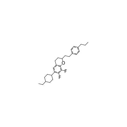 CCCc1ccc(CCC2CCc3cc(C4CCC(CC)CC4)c(F)c(F)c3O2)cc1